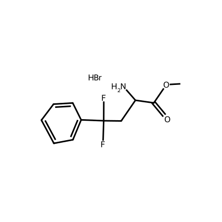 Br.COC(=O)C(N)CC(F)(F)c1ccccc1